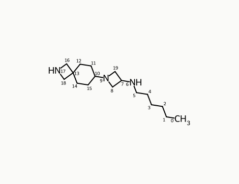 CCCCCCNC1CN(C2CCC3(CC2)CNC3)C1